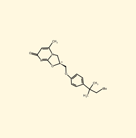 Cc1cc(=O)nc2n1C[C@@H](COc1ccc(C(C)(C)CC(C)(C)C)cc1)O2